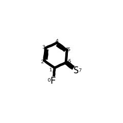 FC1C=CC=[C]C1=S